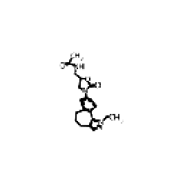 CCn1ncc2c1-c1ccc(N3CC(CNC(C)=O)OC3=O)cc1CCC2